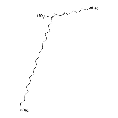 CCCCCCCCCCCCCCCC=CC=C(CCCCCCCCCCCCCCCCCCCCCCCCCCCCCC)C(=O)O